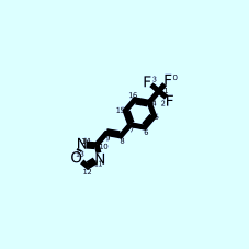 FC(F)(F)c1ccc(/C=C/c2ncon2)cc1